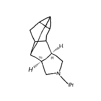 CC(C)N1C[C@@H]2C3C4CC5C3C5C4[C@@H]2C1